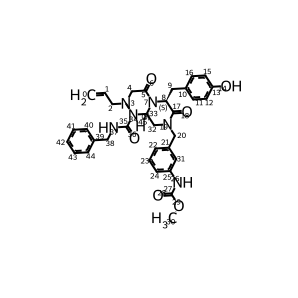 C=CCN1CC(=O)N2[C@@H](Cc3ccc(O)cc3)C(=O)N(Cc3cccc(NC(=O)OC)c3)C[C@@H]2N1C(=O)NCc1ccccc1